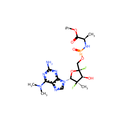 CC(C)OC(=O)[C@@H](C)N[PH](=O)OC[C@@]1(F)O[C@@H](n2cnc3c(N(C)C)nc(N)nc32)[C@](C)(F)[C@@H]1O